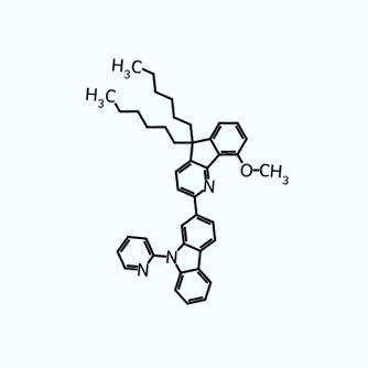 CCCCCCC1(CCCCCC)c2ccc(-c3ccc4c5ccccc5n(-c5ccccn5)c4c3)nc2-c2c(OC)cccc21